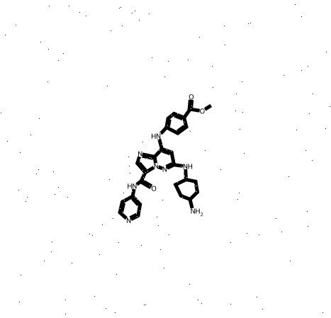 COC(=O)c1ccc(Nc2cc(NC3CCC(N)CC3)nn3c(C(=O)Nc4ccncc4)cnc23)cc1